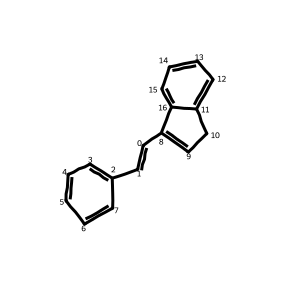 C(=Cc1ccccc1)C1=CCc2ccccc21